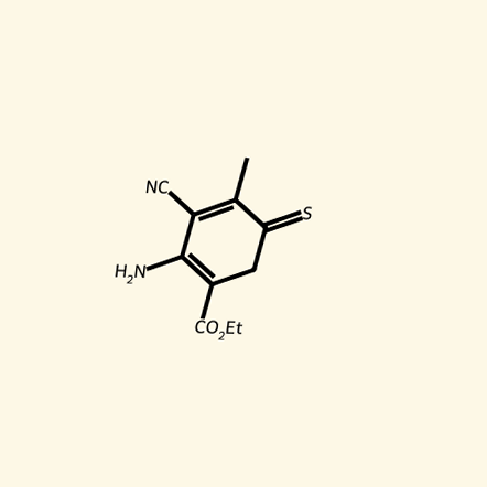 CCOC(=O)C1=C(N)C(C#N)=C(C)C(=S)C1